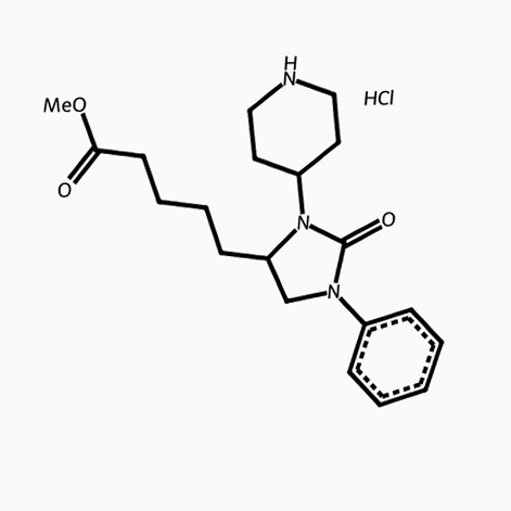 COC(=O)CCCCC1CN(c2ccccc2)C(=O)N1C1CCNCC1.Cl